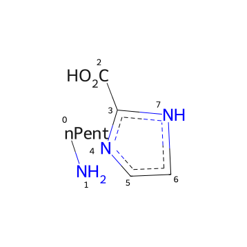 CCCCCN.O=C(O)c1ncc[nH]1